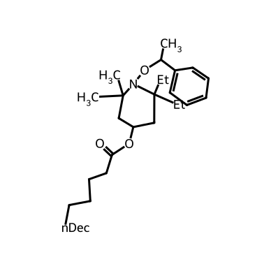 CCCCCCCCCCCCCCC(=O)OC1CC(C)(C)N(OC(C)c2ccccc2)C(CC)(CC)C1